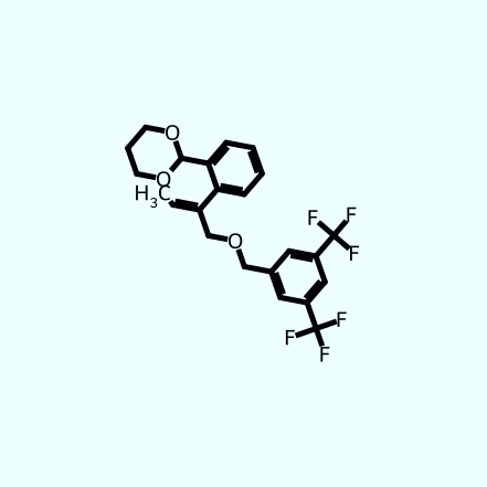 C/C=C(/COCc1cc(C(F)(F)F)cc(C(F)(F)F)c1)c1ccccc1C1OCCCO1